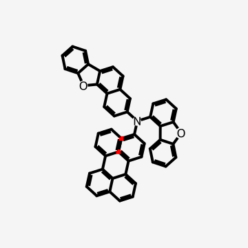 c1ccc(-c2cccc3cccc(-c4ccc(N(c5ccc6c(ccc7c8ccccc8oc67)c5)c5cccc6oc7ccccc7c56)cc4)c23)cc1